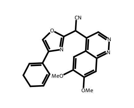 COc1cc2nncc(C(C#N)c3nc(C4=CCCC=C4)co3)c2cc1OC